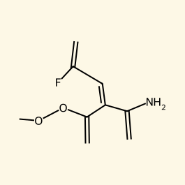 C=C(F)/C=C(/C(=C)N)C(=C)OOC